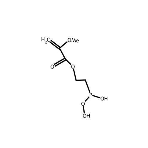 C=C(OC)C(=O)OCCP(O)OO